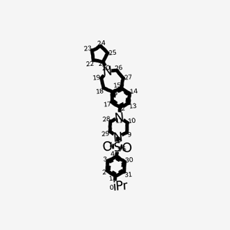 CC(C)c1ccc(S(=O)(=O)N2CCN(c3ccc4c(c3)CCN(C3CCCC3)CC4)CC2)cc1